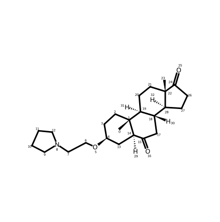 C[C@]12CC[C@H](OCCN3CCCC3)C[C@@H]1C(=O)C[C@@H]1[C@@H]2CC[C@]2(C)C(=O)CC[C@@H]12